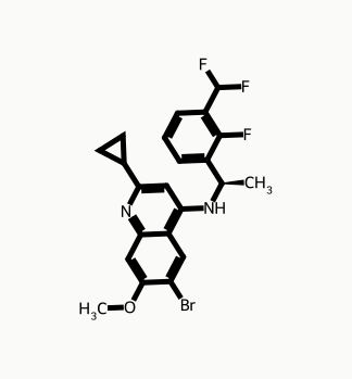 COc1cc2nc(C3CC3)cc(N[C@H](C)c3cccc(C(F)F)c3F)c2cc1Br